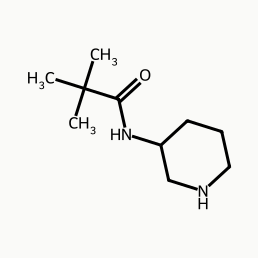 CC(C)(C)C(=O)NC1CCCNC1